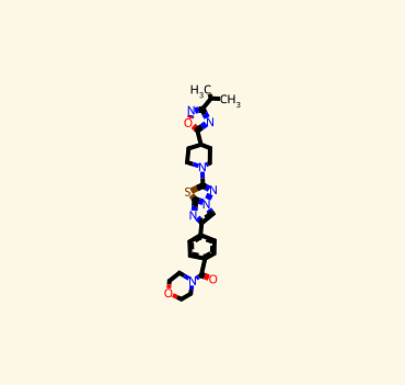 CC(C)c1noc(C2CCN(c3nn4cc(-c5ccc(C(=O)N6CCOCC6)cc5)nc4s3)CC2)n1